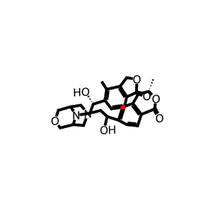 Cc1c([C@@H](O)CN2C3COCC2CN(CC(O)c2ccc4c(c2)C[C@H](C)OC4=O)C3)ccc2c1COC2=O